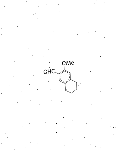 COc1cc2c(cc1C=O)CCCC2